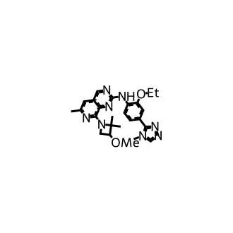 CCOc1cc(-c2nncn2C)ccc1Nc1ncc2cc(C)nc(N3CC(OC)C3(C)C)c2n1